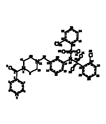 O=C(c1ccncc1)N1CCN(Cc2cccc(N(S(=O)(=O)c3ccccc3Cl)S(=O)(=O)c3ccccc3Cl)c2)CC1